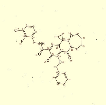 O=C(NCc1cccc(Cl)c1F)c1cn2c(c(OCc3ccccc3)c1=O)C(=O)N1CCCCOC1C21CC1